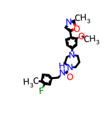 COc1cc(N2CCCN(C(=O)NCc3ccc(C)c(F)c3)CC2)ccc1-c1cnc(C)o1